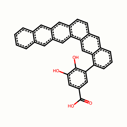 O=C(O)c1cc(O)c(O)c(-c2cccc3cc4ccc5cc6cc7ccccc7cc6cc5c4cc23)c1